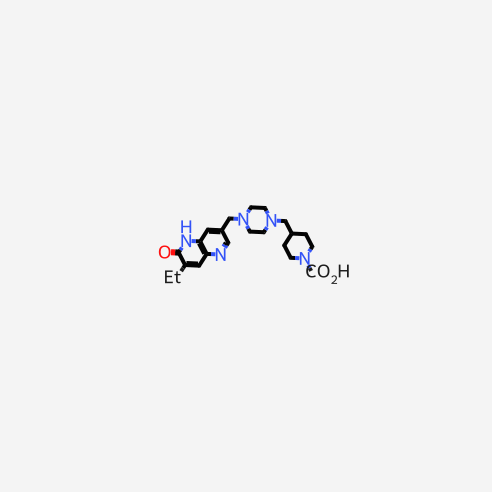 CCc1cc2ncc(CN3CCN(CC4CCN(C(=O)O)CC4)CC3)cc2[nH]c1=O